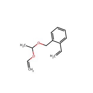 C=COC(C)OCc1ccccc1C=C